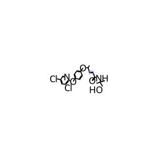 CC(/C=C/C(=O)NC(C)(C)CO)Oc1ccc(Oc2ncc(Cl)cc2Cl)cc1